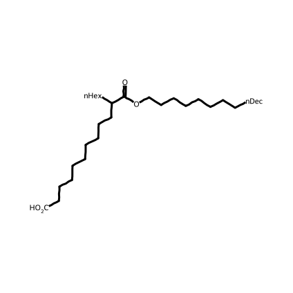 CCCCCCCCCCCCCCCCCCOC(=O)C(CCCCCC)CCCCCCCCCC(=O)O